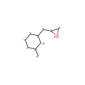 CC1CCCC(CC2CO2)C1